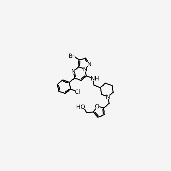 OCc1ccc(CN2CCCC(CNc3cc(-c4ccccc4Cl)nc4c(Br)cnn34)C2)o1